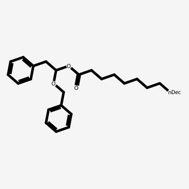 CCCCCCCCCCCCCCCCCC(=O)OC(Cc1ccccc1)OCc1ccccc1